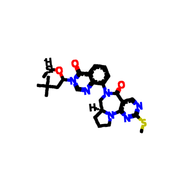 CSc1ncc2c(n1)N1CCC[C@H]1CN(c1cccc3c(=O)n(C(CC(C)(C)C)O[SiH](C)C)cnc13)C2=O